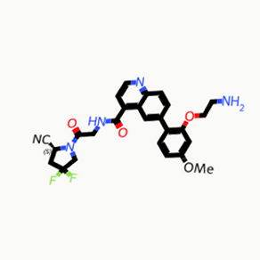 COc1ccc(-c2ccc3nccc(C(=O)NCC(=O)N4CC(F)(F)C[C@H]4C#N)c3c2)c(OCCN)c1